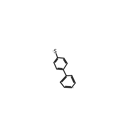 [S]c1ccc(-c2cc[c]cc2)cc1